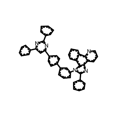 c1ccc(-c2cc(-c3ccc(-c4cccc(-n5c(-c6ccccc6)nc6c7cccnc7c7ccccc7c65)c4)cc3)nc(-c3ccccc3)n2)cc1